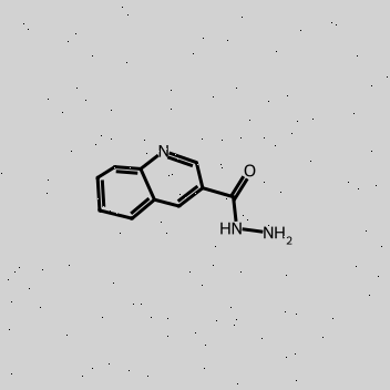 NNC(=O)c1cnc2ccccc2c1